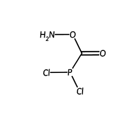 NOC(=O)P(Cl)Cl